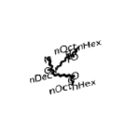 CCCCCCCCCCC(CCCCC=CC(=O)OCC(CCCCCC)CCCCCCCC)N(CCCCCCC(F)(F)C(=O)OCC(CCCCCC)CCCCCCCC)C(=O)CCCN(C)C